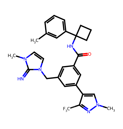 Cc1cccc(C2(NC(=O)c3cc(Cn4ccn(C)c4=N)cc(-c4cn(C)nc4C(F)(F)F)c3)CCC2)c1